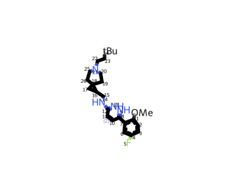 COc1ccc(F)cc1C(=N)/C=C\C(=N)NCC1CC12CCN(CCC(C)(C)C)CC2